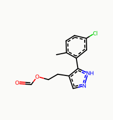 Cc1ccc(Cl)cc1-c1[nH]ncc1CCOC=O